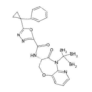 BC(B)(B)N1C(=O)[C@@H](NC(=O)c2nnc(C3(c4ccccc4)CC3)o2)COc2cccnc21